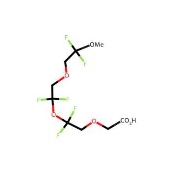 COC(F)(F)COCC(F)(F)OC(F)(F)COCC(=O)O